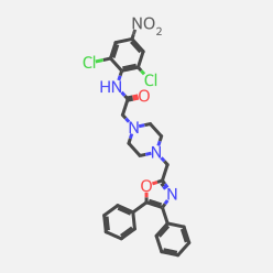 O=C(CN1CCN(Cc2nc(-c3ccccc3)c(-c3ccccc3)o2)CC1)Nc1c(Cl)cc([N+](=O)[O-])cc1Cl